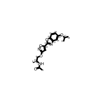 CC(=O)N[C@@H](C)COc1cc(-c2nc3cc(OC(C)C)ccc3o2)on1